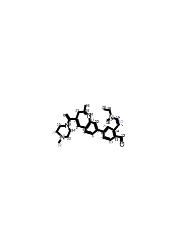 C=C(C1=Cc2ccc(-c3ccc(C=O)c(/C=C\N(C)CC)c3)cc2N=C(C)C1)N1CCN(C)CC1